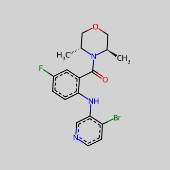 C[C@@H]1COC[C@@H](C)N1C(=O)c1cc(F)ccc1Nc1cnccc1Br